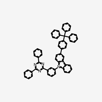 c1ccc(-c2nc(-c3ccccc3)nc(-c3cccc(-n4c5ccccc5c5cc(-c6ccc(C(c7ccccc7)(c7ccccc7)c7ccccc7)cc6)ccc54)c3)n2)cc1